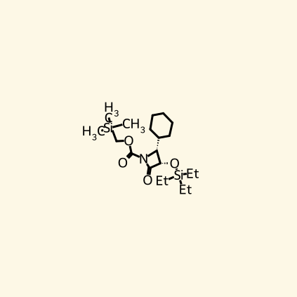 CC[Si](CC)(CC)O[C@@H]1C(=O)N(C(=O)OC[Si](C)(C)C)[C@@H]1C1CCCCC1